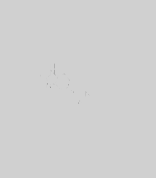 CCCCCCN1CC[C@](C)(c2ccc3[nH]c(OC)nc3c2)[C@@H](C)C1